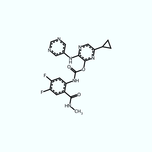 CNC(=O)c1cc(F)c(F)cc1NC(=O)Oc1nc(C2CC2)cnc1Nc1cncnc1